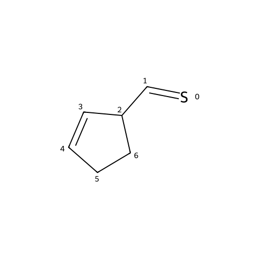 S=CC1C=CCC1